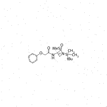 CS[C@@]1(NC(=O)COc2ccccc2)CN([Si](C)(C)C(C)(C)C)C1=O